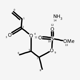 C=CC(=O)OC(C)C(C)OS(=O)(=O)OC.N